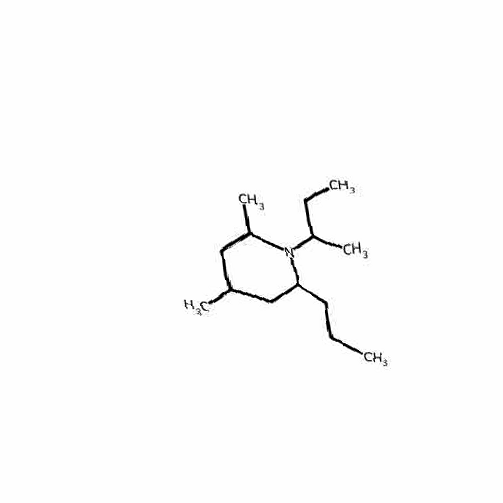 CCCC1CC(C)CC(C)N1C(C)CC